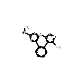 CNc1nc(-c2ccccc2-c2c(C)noc2C)cs1